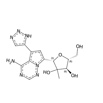 CC1(O)[C@H](O)[C@@H](CO)O[C@H]1c1cc(-c2cnn[nH]2)c2c(N)ncnn12